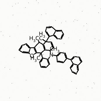 CC1C2=C3C(C)(c4ccccc4N(c4ccc(-c5cccc6ccccc56)cc4)C3(C)C=CC2(C)c2cccc3ccccc23)c2oc3ccccc3c21